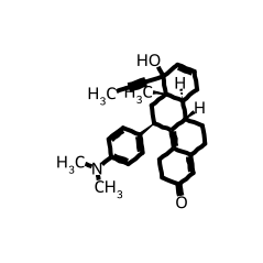 CC#CC1(O)C=CC[C@H]2[C@@H]3CCC4=CC(=O)CCC4=C3[C@@H](c3ccc(N(C)C)cc3)C[C@@]21C